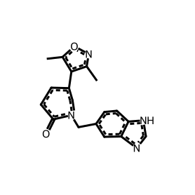 Cc1noc(C)c1-c1ccc(=O)n(Cc2ccc3[nH]cnc3c2)c1